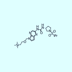 CC(C)S(=O)(=O)N1CC[C@@H](NC(=O)Nc2cnc3c(ccn3COCC[Si](C)(C)C)n2)C1